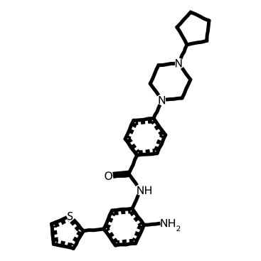 Nc1ccc(-c2cccs2)cc1NC(=O)c1ccc(N2CCN(C3CCCC3)CC2)cc1